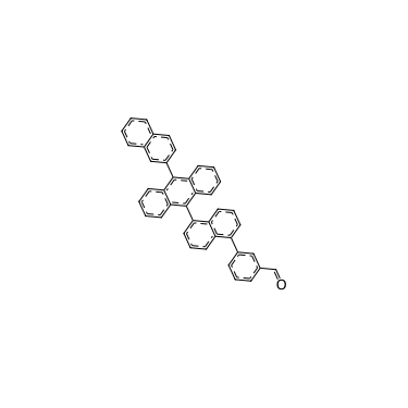 O=Cc1cccc(-c2cccc3c(-c4c5ccccc5c(-c5ccc6ccccc6c5)c5ccccc45)cccc23)c1